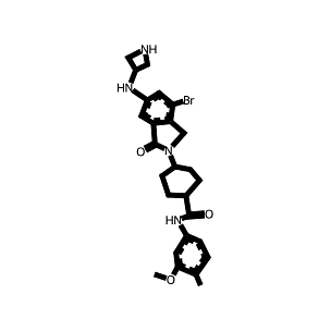 COc1cc(NC(=O)C2CCC(N3Cc4c(Br)cc(NC5CNC5)cc4C3=O)CC2)ccc1C